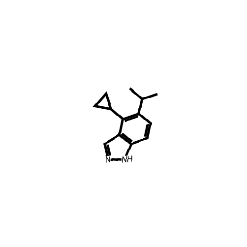 CC(C)c1ccc2[nH]ncc2c1C1CC1